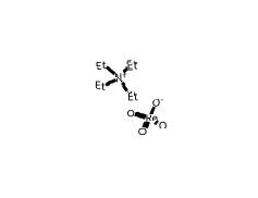 CC[N+](CC)(CC)CC.[O]=[Re](=[O])(=[O])[O-]